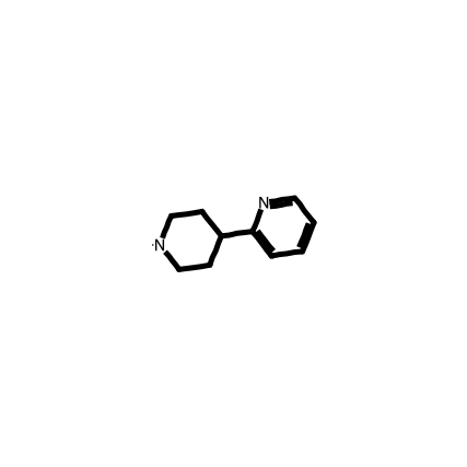 c1ccc(C2CC[N]CC2)nc1